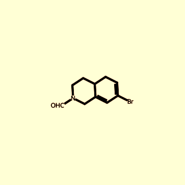 O=CN1CCC2CC=C(Br)C=C2C1